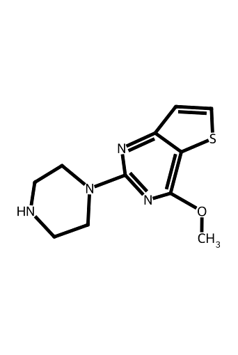 COc1nc(N2CCNCC2)nc2ccsc12